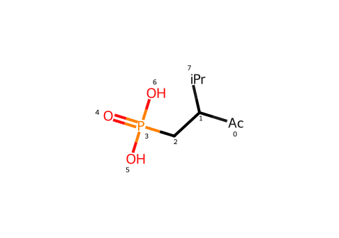 CC(=O)C(CP(=O)(O)O)C(C)C